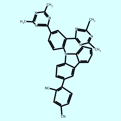 Cc1nc(C)nc(-c2ccc(-n3c4ccccc4c4cc(-c5ccc(C#N)cc5C#N)ccc43)c(-c3nc(C)nc(C)n3)c2)n1